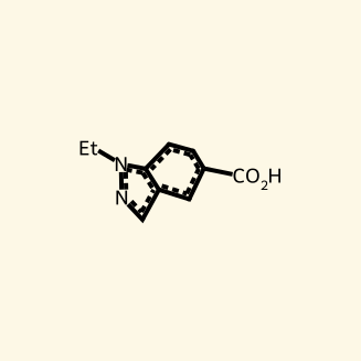 CCn1ncc2cc(C(=O)O)ccc21